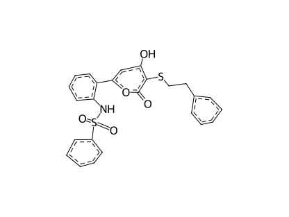 O=c1oc(-c2ccccc2NS(=O)(=O)c2ccccc2)cc(O)c1SCCc1ccccc1